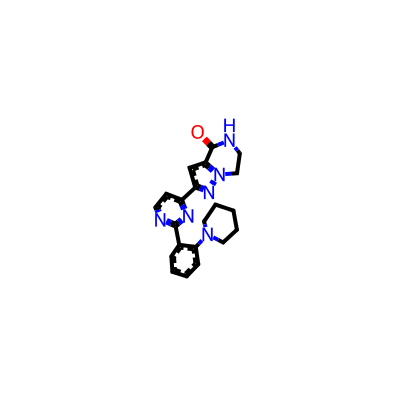 O=C1NCCn2nc(-c3ccnc(-c4ccccc4N4CCCCC4)n3)cc21